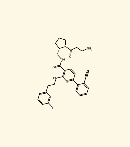 N#Cc1ccccc1-c1ccc(C(=O)NC[C@@H]2CCCN2C(=O)CCN)c(NCCc2cccc(F)c2)n1